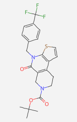 CC(C)(C)OC(=O)N1CCc2c(c(=O)n(Cc3ccc(C(F)(F)F)cc3)c3sccc23)C1